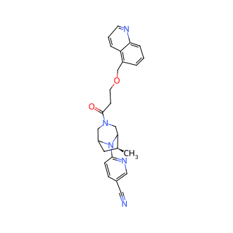 C[C@H]1CC2CN(C(=O)CCOCc3cccc4ncccc34)CC1N2c1ccc(C#N)cn1